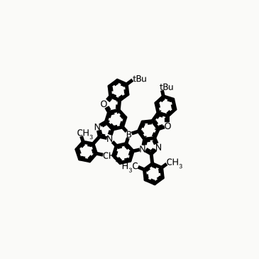 Cc1cccc(C)c1-c1nc2c3oc4ccc(C(C)(C)C)cc4c3cc3c2n1-c1cccc2c1B3c1cc3c4cc(C(C)(C)C)ccc4oc3c3nc(-c4c(C)cccc4C)n-2c13